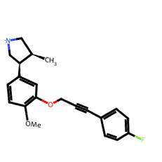 COc1ccc([C@H]2C[N]C[C@H]2C)cc1OCC#Cc1ccc(F)cc1